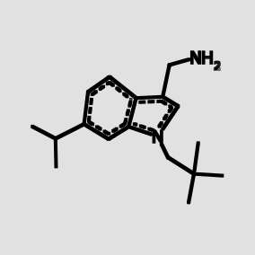 CC(C)c1ccc2c(CN)cn(CC(C)(C)C)c2c1